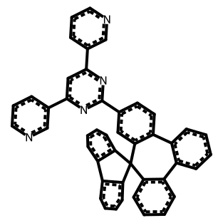 c1cncc(-c2cc(-c3cccnc3)nc(-c3ccc4c(c3)C3(c5ccccc5-c5ccccc5-4)c4ccccc4-c4ccccc43)n2)c1